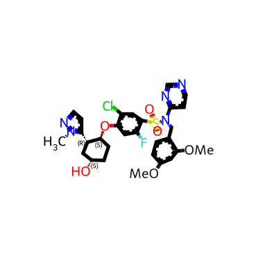 COc1ccc(CN(c2ccncn2)S(=O)(=O)c2cc(Cl)c(O[C@H]3CC[C@H](O)C[C@@H]3c3ccnn3C)cc2F)c(OC)c1